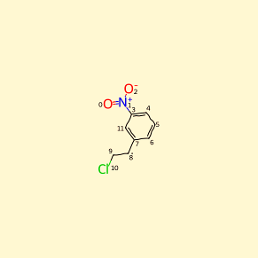 O=[N+]([O-])c1cccc([CH]CCl)c1